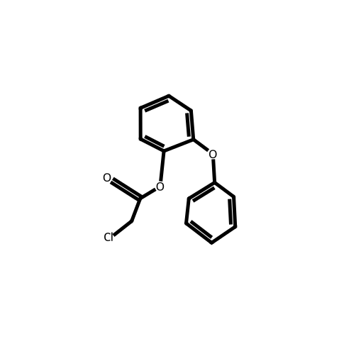 O=C(CCl)Oc1ccccc1Oc1ccccc1